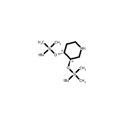 CC(C)(C)[Si](C)(C)O[C@@H]1CCNC[C@H]1O[Si](C)(C)C(C)(C)C